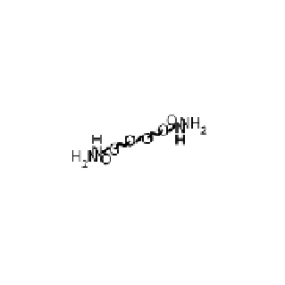 NNC(=O)COCCOCCOCCOCC(=O)NN